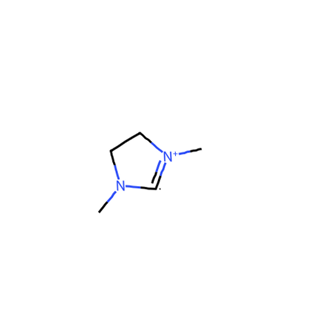 CN1[C]=[N+](C)CC1